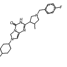 CC1CN(Cc2ccc(F)cc2)CC1C1=NC2=CN(C3CCC(F)CC3)CN2C(=O)N1